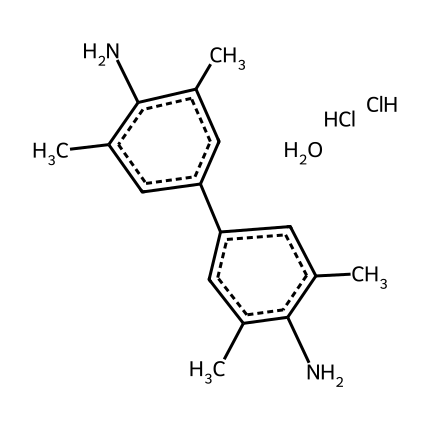 Cc1cc(-c2cc(C)c(N)c(C)c2)cc(C)c1N.Cl.Cl.O